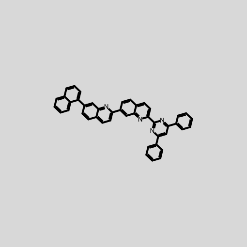 c1ccc(-c2cc(-c3ccccc3)nc(-c3ccc4ccc(-c5ccc6ccc(-c7cccc8ccccc78)cc6n5)cc4n3)n2)cc1